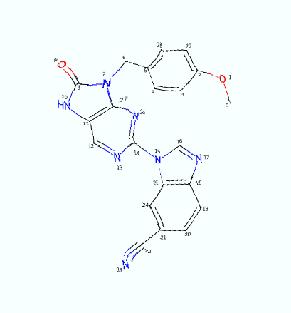 COc1ccc(Cn2c(=O)[nH]c3cnc(-n4cnc5ccc(C#N)cc54)nc32)cc1